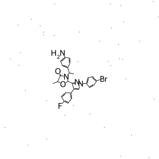 CC1OC(c2nn(-c3ccc(Br)cc3)cc2-c2ccc(F)cc2)N(C(C)c2ccc(N)cc2)C1=O